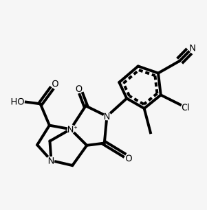 Cc1c(N2C(=O)C3CN4CC(C(=O)O)[N+]3(C4)C2=O)ccc(C#N)c1Cl